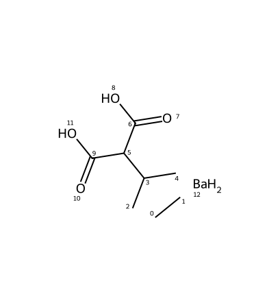 CC.CC(C)C(C(=O)O)C(=O)O.[BaH2]